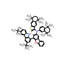 CC(C)(C)c1ccc2c(c1)c1cc(C(C)(C)C)cc3c1n2B1c2sc4cc5c(cc4c2N(c2ccc4c(c2)C(C)(C)CCC4(C)C)c2cc4c(oc6ccccc64)c-3c21)C(C)(C)CCC5(C)C